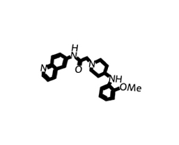 COc1ccccc1NC1CCN(CC(=O)Nc2ccc3ncccc3c2)CC1